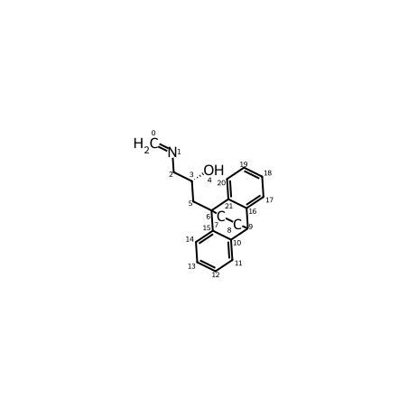 C=NC[C@H](O)CC12CCC(c3ccccc31)c1ccccc12